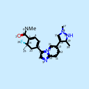 CNC(=O)C1=CC=C(c2cnc3ccc(C4=CN(C)NC4C)cn23)C[C@@]1(C)F